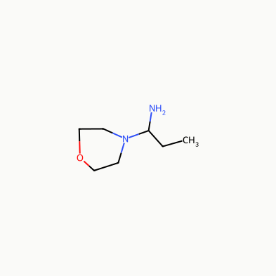 CCC(N)N1CCOCC1